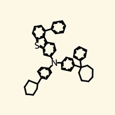 c1ccc(-c2cccc3sc4cc(N(c5ccc(C6CCCCC6)cc5)c5ccc(C6(c7ccccc7)CCCCCC6)cc5)ccc4c23)cc1